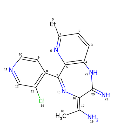 CCc1ccc2c(n1)C(c1ccncc1Cl)=N/C(=C(\C)N)C(=N)N2